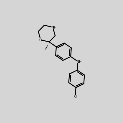 C[C@@]1(c2ccc(Nc3ccc(Cl)cc3)cc2)CNCCO1